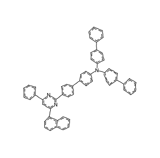 c1ccc(-c2ccc(N(c3ccc(-c4ccccc4)cc3)c3ccc(-c4ccc(-c5nc(-c6ccccc6)cc(-c6cccc7ccccc67)n5)cc4)cc3)cc2)cc1